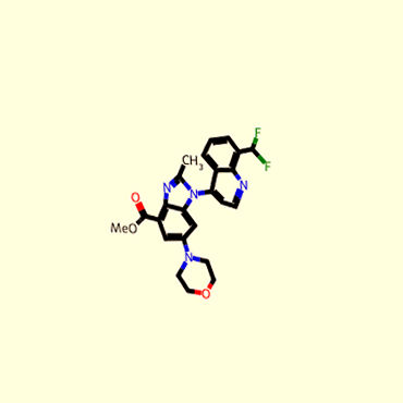 COC(=O)c1cc(N2CCOCC2)cc2c1nc(C)n2-c1ccnc2c(C(F)F)cccc12